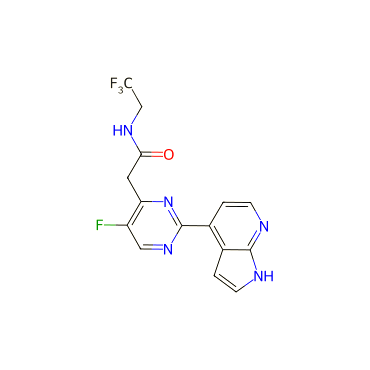 O=C(Cc1nc(-c2ccnc3[nH]ccc23)ncc1F)NCC(F)(F)F